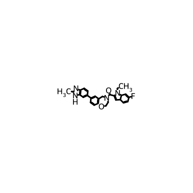 CCN1C(C(=O)N2CCOc3ccc(-c4ccc5nc(C)[nH]c5c4)cc3C2)=CC2C=CC(F)=CC21